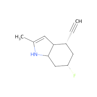 C#C[C@@H]1C[C@H](F)CC2NC(C)=CC21